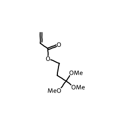 C=CC(=O)OCCC(OC)(OC)OC